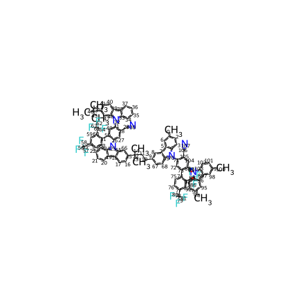 Cc1ccc2c(c1)c1cc(CCC(C)(C)c3ccc4c5ccccc5n(-c5cc(C#N)c(-n6c7ccccc7c7ccc(C(C)(C)C)cc76)cc5-c5ccc(C(F)(F)F)cc5C(F)(F)F)c4c3)ccc1n2-c1cc(-c2ccc(C(F)(F)F)cc2C(F)(F)F)c(-n2c3ccc(C)cc3c3cc(C)ccc32)cc1C#N